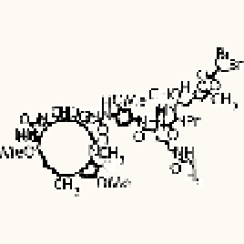 COc1cc(NC(=O)[C@H](CCCNC(N)=O)NC(=O)[C@@H](NC(C=O)CCCC(C)(C)OC(=O)C(CBr)CBr)C(C)C)ccc1NC(=O)O[C@H]1CC(=O)N(C)c2cc(cc(OC)c2Cl)C/C(C)=C/C=C/[C@@H](OC)[C@@]2(O)C[C@H](OC(=O)N2)[C@@H](C)[C@@H]2O[C@@]12C